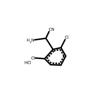 Cl.N#CC(N)c1c(Cl)cccc1Cl